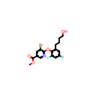 COC(=O)c1cnc(Oc2c(F)cc(F)cc2CCCCO)c(Br)c1